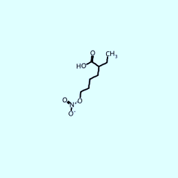 CCC(CCCCO[N+](=O)[O-])C(=O)O